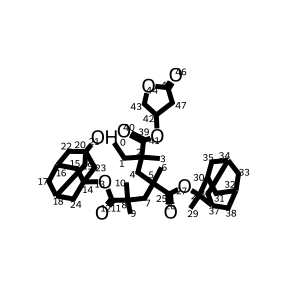 CCC(C)(CC(C)(CC(C)(C)C(=O)OC12CC3CC(CC(O)(C3)C1)C2)C(=O)OC1(C)C2CC3CC(C2)CC1C3)C(=O)OC1COC(=O)C1